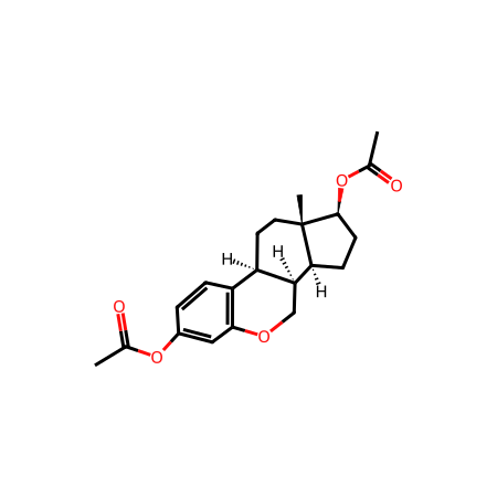 CC(=O)Oc1ccc2c(c1)OC[C@H]1[C@@H]2CC[C@]2(C)[C@@H](OC(C)=O)CC[C@@H]12